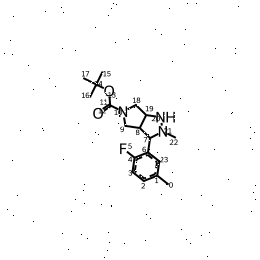 Cc1ccc(F)c(C2C3CN(C(=O)OC(C)(C)C)CC3NN2C)c1